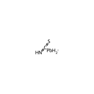 N=C=S.[PbH2]